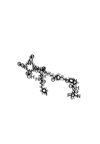 CC1(F)C[C@H](C#N)N(C(=O)CNC(=O)c2ccnc3ccc(OCCCC4CCN(C(=O)CCCCCNC(=O)C(CSCCNC(=O)CCCc5ccc(I)cc5)NC(=O)CN5CCN(COC=O)CCN(COC=O)CCN(CC(=O)O)CC5)CC4)cc23)C1